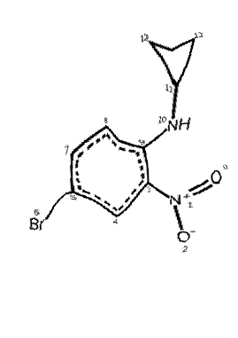 O=[N+]([O-])c1cc(Br)ccc1NC1CC1